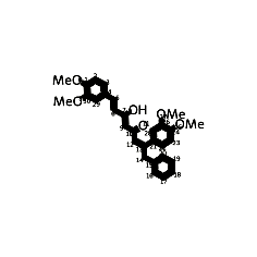 COc1ccc(C=CC(O)=CC(=O)C=C(Cc2ccccc2)c2ccc(OC)c(OC)c2)cc1OC